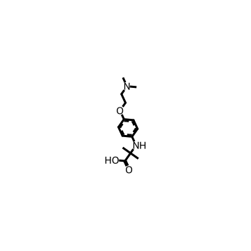 CN(C)CCOc1ccc(NC(C)(C)C(=O)O)cc1